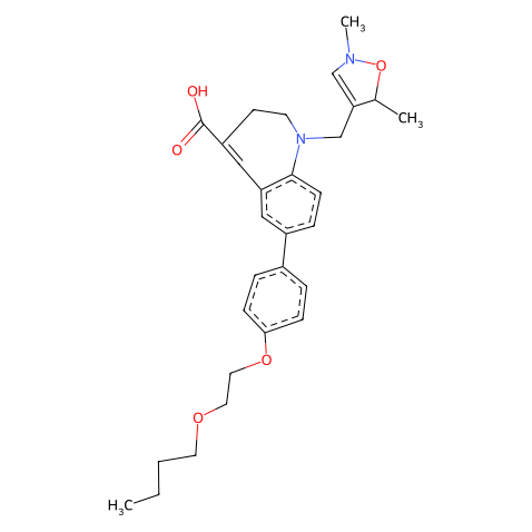 CCCCOCCOc1ccc(-c2ccc3c(c2)C=C(C(=O)O)CCN3CC2=CN(C)OC2C)cc1